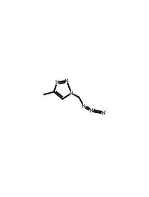 Cc1cn(CN=[N+]=[N-])nn1